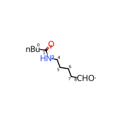 CCCCC(=O)NCCCC[C]=O